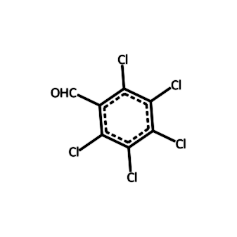 O=Cc1c(Cl)c(Cl)c(Cl)c(Cl)c1Cl